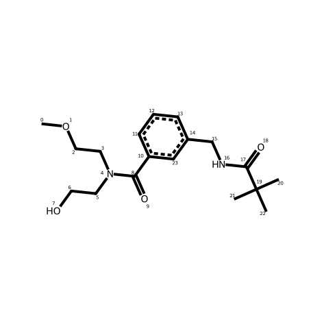 COCCN(CCO)C(=O)c1cccc(CNC(=O)C(C)(C)C)c1